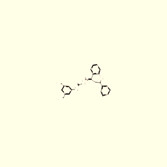 O=C(NN=C1CC(c2ccccc2)Nc2ccccc21)Nc1cc(Cl)cc(Cl)c1